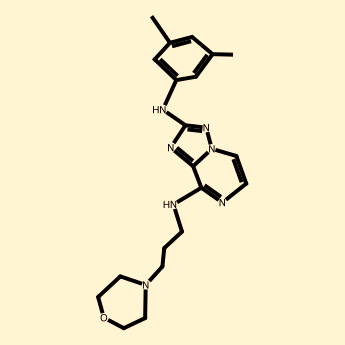 Cc1cc(C)cc(Nc2nc3c(NCCCN4CCOCC4)nccn3n2)c1